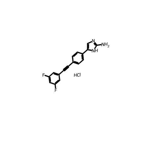 Cl.Nc1ncc(-c2ccc(C#Cc3cc(F)cc(F)c3)cc2)[nH]1